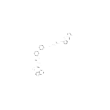 CC1=CC(C)=[N+]2C1=Cc1ccc(CCC(=O)NCCCOc3cccc(-c4cccc(NC(=O)N5CC=C(c6ncnc7[nH]cc(C8CC8)c67)CC5)c4)c3)n1[B-]2(F)F